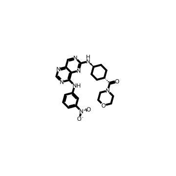 O=C([C@H]1CC[C@H](Nc2ncc3ncnc(Nc4cccc([N+](=O)[O-])c4)c3n2)CC1)N1CCOCC1